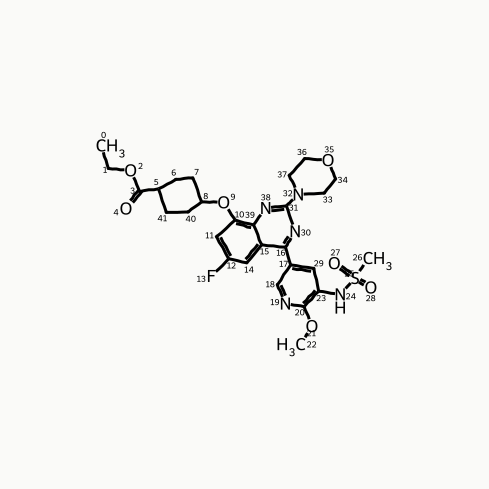 CCOC(=O)C1CCC(Oc2cc(F)cc3c(-c4cnc(OC)c(NS(C)(=O)=O)c4)nc(N4CCOCC4)nc23)CC1